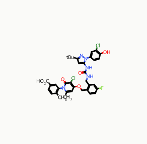 Cc1ccc(C(=O)O)cc1-n1c(C)cc(OCc2ccc(F)cc2CNC(=O)Nc2cc(C(C)(C)C)nn2-c2ccc(O)c(Cl)c2)c(Cl)c1=O